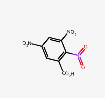 O=C(O)c1cc([N+](=O)[O-])cc([N+](=O)[O-])c1I(=O)=O